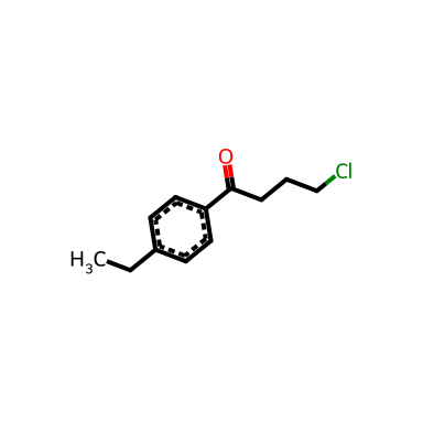 CCc1ccc(C(=O)CCCCl)cc1